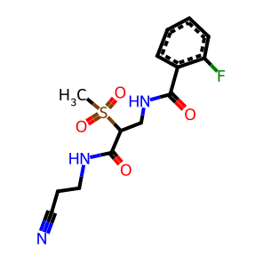 CS(=O)(=O)C(CNC(=O)c1ccccc1F)C(=O)NCCC#N